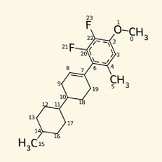 COc1cc(C)c(C2=CCC(C3CCC(C)CC3)CC2)c(F)c1F